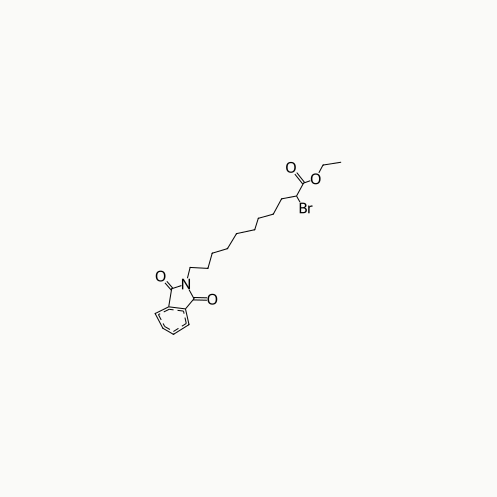 CCOC(=O)C(Br)CCCCCCCCCN1C(=O)c2ccccc2C1=O